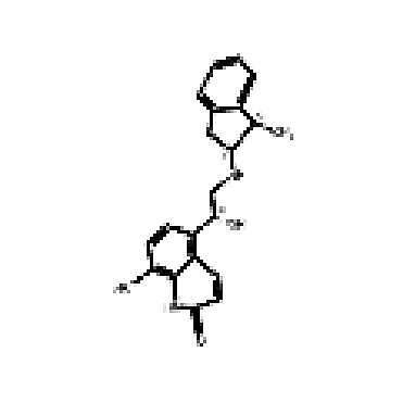 C[C@@H]1c2ccccc2C[C@@H]1NC[C@H](O)c1ccc(O)c2[nH]c(=O)ccc12